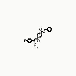 NC(CC(=O)N1CCN(C(=O)OCc2ccccc2)CC1)c1ccc(F)cc1